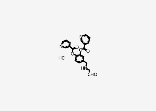 Cl.O=CCNCc1ccc(OC(=O)c2cccnc2)c(OC(=O)c2cccnc2)c1